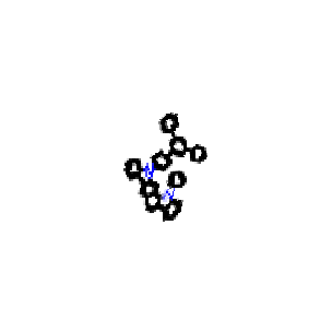 c1ccc(-c2cc(-c3ccccc3)cc(-c3ccc(-n4c5ccccc5c5cc6ccc7c8ccccc8n(-c8ccccc8)c7c6cc54)cc3)c2)cc1